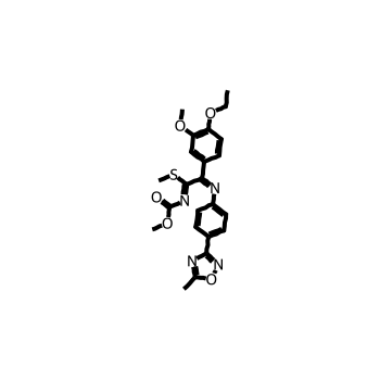 CCOc1ccc(C(=N/c2ccc(-c3noc(C)n3)cc2)/C(=N/C(=O)OC)SC)cc1OC